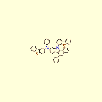 c1ccc(-c2cc3ccccc3c3c2c2ccc(N(c4ccccc4)c4ccc5sc6ccccc6c5c4)cc2n3-c2cccc3c2sc2ccccc23)cc1